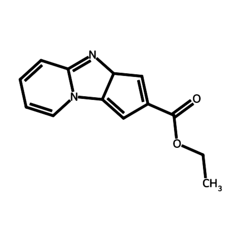 CCOC(=O)C1=CC2N=C3C=CC=CN3C2=C1